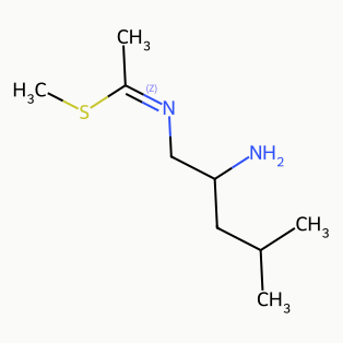 CS/C(C)=N\CC(N)CC(C)C